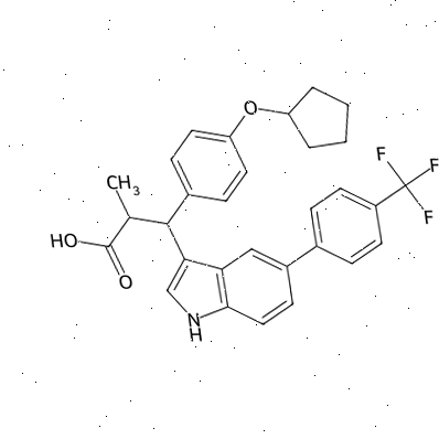 CC(C(=O)O)C(c1ccc(OC2CCCC2)cc1)c1c[nH]c2ccc(-c3ccc(C(F)(F)F)cc3)cc12